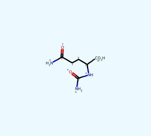 NC(=O)CCC(NC(N)=O)C(=O)O